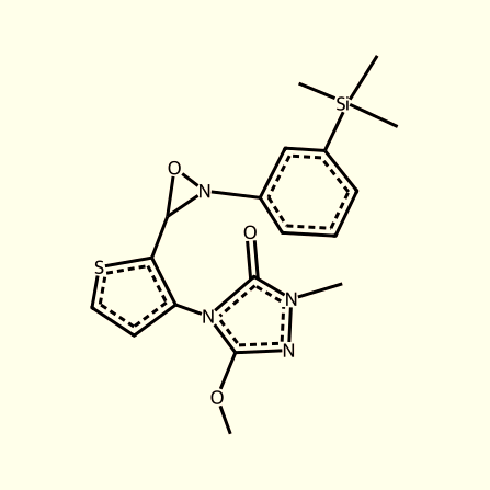 COc1nn(C)c(=O)n1-c1ccsc1C1ON1c1cccc([Si](C)(C)C)c1